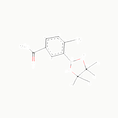 COC(=O)c1ccc(C#N)c(B2OC(C)(C)C(C)(C)O2)c1